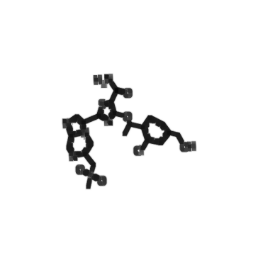 CC(Oc1nc(-c2cnc3cnc(CS(C)(=O)=O)cn23)sc1C(N)=O)c1ccc(CO)cc1Cl